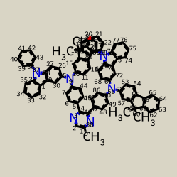 Cc1cnc(-c2ccc(N(c3ccc4c(c3)C(C)(C)c3ccccc3-4)c3ccc4c(c3)c3ccccc3n4-c3ccccc3)cc2)c(-c2ccc(N(c3ccc4c(c3)C(C)(C)c3ccccc3-4)c3ccc4c(c3)c3ccccc3n4-c3ccccc3)cc2)n1